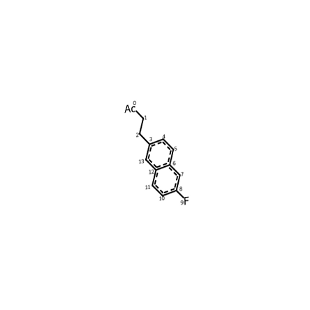 CC(=O)CCc1ccc2cc(F)ccc2c1